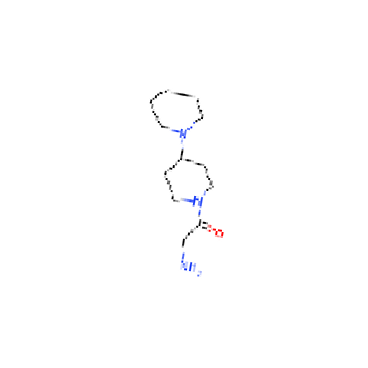 NCC(=O)N1CC[C](N2CCCCC2)CC1